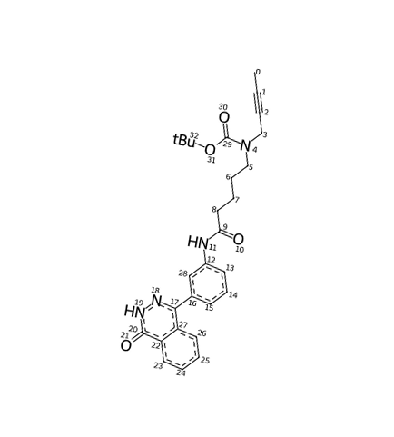 CC#CCN(CCCCC(=O)Nc1cccc(-c2n[nH]c(=O)c3ccccc23)c1)C(=O)OC(C)(C)C